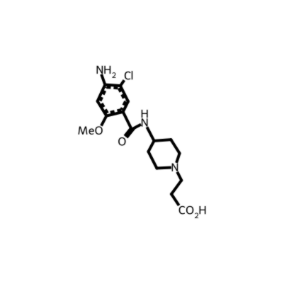 COc1cc(N)c(Cl)cc1C(=O)NC1CCN(CCC(=O)O)CC1